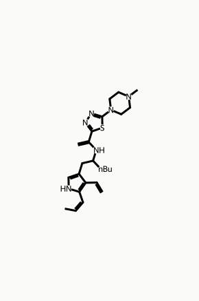 C=Cc1c(CC(CCCC)NC(=C)c2nnc(N3CCN(C)CC3)s2)c[nH]c1/C=C\C